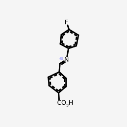 O=C(O)c1ccc(/C=N/c2ccc(F)cc2)cc1